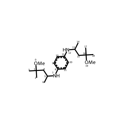 COC(C)(C)CC(C)Nc1ccc(NC(C)CC(C)(C)OC)cc1